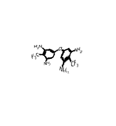 Nc1cc(Oc2cc(N)c(C(F)(F)F)c(N)c2)cc(N)c1C(F)(F)F